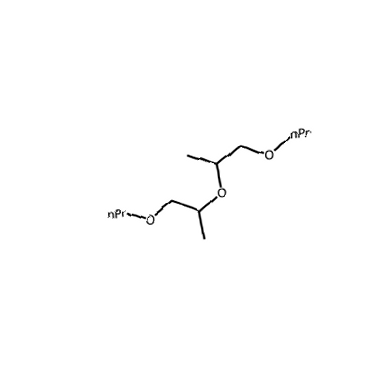 C[CH][CH]OCC(C)OC(C)COCCC